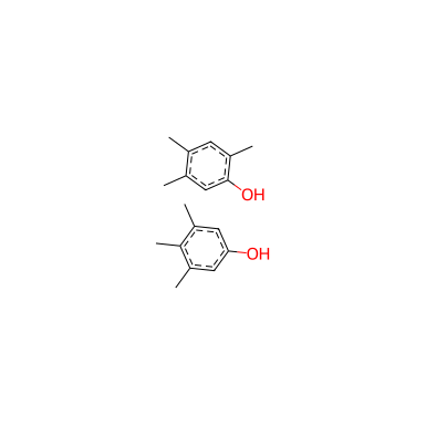 Cc1cc(C)c(O)cc1C.Cc1cc(O)cc(C)c1C